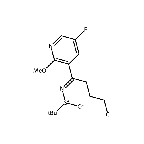 COc1ncc(F)cc1C(CCCCl)=N[S+]([O-])C(C)(C)C